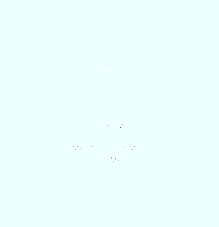 CO[C@@H]1[C@@H](OC)[C@H](C)O[C@@H](OC2CC3=CCC(C(C)=O)C=C3C2)[C@@H]1OC